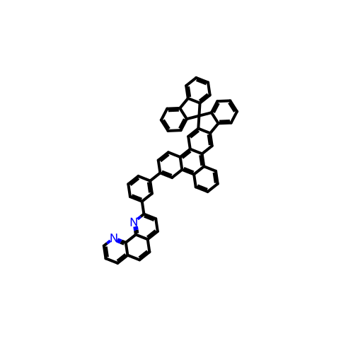 c1cc(-c2ccc3c(c2)c2ccccc2c2cc4c(cc32)C2(c3ccccc3-c3ccccc32)c2ccccc2-4)cc(-c2ccc3ccc4cccnc4c3n2)c1